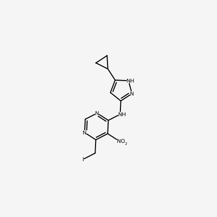 O=[N+]([O-])c1c(CI)ncnc1Nc1cc(C2CC2)[nH]n1